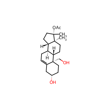 CC(=O)O[C@@]1(C)CC[C@H]2[C@@H]3CC=C4C[C@@H](O)CC[C@]4(CO)[C@H]3CC[C@@]21C